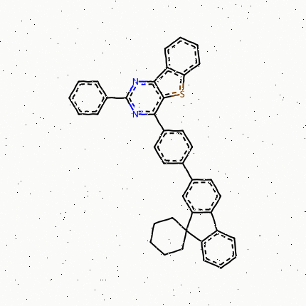 c1ccc(-c2nc(-c3ccc(-c4ccc5c(c4)C4(CCCCC4)c4ccccc4-5)cc3)c3sc4ccccc4c3n2)cc1